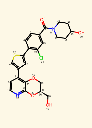 O=C(c1ccc(-c2cc(-c3ccnc4c3OC[C@@H](CO)O4)cs2)c(Cl)c1)N1CCC(O)CC1